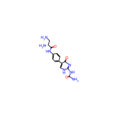 NC[C@@H](N)C(=O)Nc1ccc(-c2c[nH]c(NC(N)=O)nc2=O)cc1